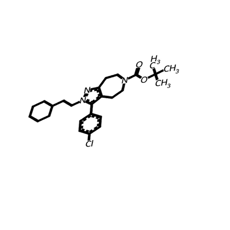 CC(C)(C)OC(=O)N1CCc2nn(CCC3CCCCC3)c(-c3ccc(Cl)cc3)c2CC1